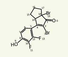 O=C1C(Br)=C(c2ccc(O)c(F)c2F)C2CCCC12Br